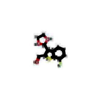 O=Cc1sc2c(F)cccc2c1C1OCCO1